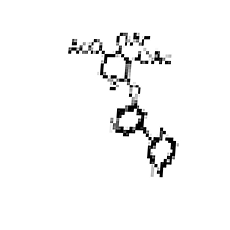 CC(=O)O[C@@H]1[C@@H](OC(C)=O)[C@@H](Oc2cncc(-c3cnccn3)c2)SC[C@H]1OC(C)=O